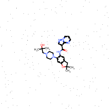 CC(C)(O)CN1CCN(c2cc3c(cc2NC(=O)c2cnn4cccnc24)CC(C)(C)O3)CC1